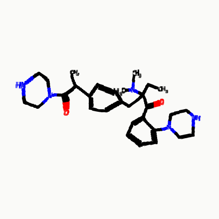 CCC(Cc1ccc(C(C)C(=O)N2CCNCC2)cc1)(C(=O)c1ccccc1N1CCNCC1)N(C)C